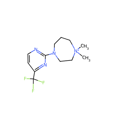 C[N+]1(C)CCCN(c2nccc(C(F)(F)F)n2)CC1